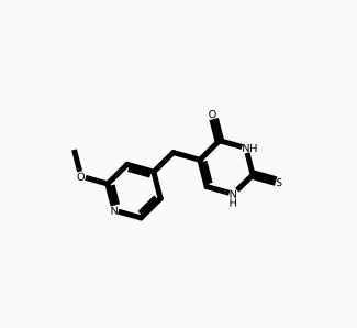 COc1cc(Cc2c[nH]c(=S)[nH]c2=O)ccn1